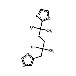 CC(C)(CCC(C)(C)c1ncco1)Cc1cocn1